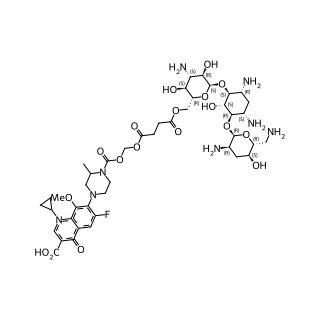 COc1c(N2CCN(C(=O)OCOC(=O)CCC(=O)OC[C@H]3O[C@H](O[C@@H]4[C@@H](O)[C@H](O[C@H]5O[C@H](CN)[C@@H](O)C[C@H]5N)[C@@H](N)C[C@H]4N)[C@H](O)[C@@H](N)[C@@H]3O)C(C)C2)c(F)cc2c(=O)c(C(=O)O)cn(C3CC3)c12